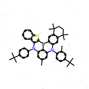 Cc1cc2c3c(c1)N(c1ccc(C(C)(C)C)cc1)c1c(sc4ccccc14)B3c1cc3c(cc1N2c1ccc(C(C)(C)C)cc1C)C(C)(C)CCC3(C)C